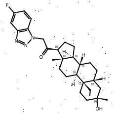 CC[C@]12CC[C@@](C)(O)C[C@H]1CC[C@H]1[C@@H]3CC[C@H](C(=O)Cn4nnc5cc(F)ccc54)[C@@]3(C)CC[C@@H]12